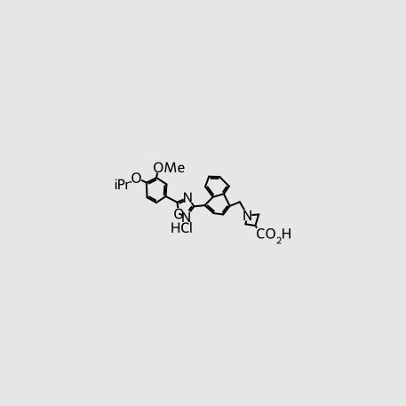 COc1cc(-c2nc(-c3ccc(CN4CC(C(=O)O)C4)c4ccccc34)no2)ccc1OC(C)C.Cl